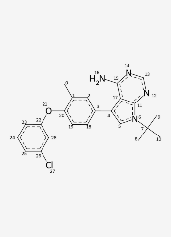 Cc1cc(-c2cn(C(C)(C)C)c3ncnc(N)c23)ccc1Oc1cccc(Cl)c1